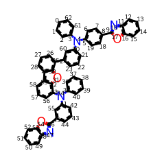 c1ccc(N(c2ccc(-c3nc4ccccc4o3)cc2)c2cccc(-c3cccc4c3oc3c(N(c5ccccc5)c5cccc(-c6nc7ccccc7o6)c5)cccc34)c2)cc1